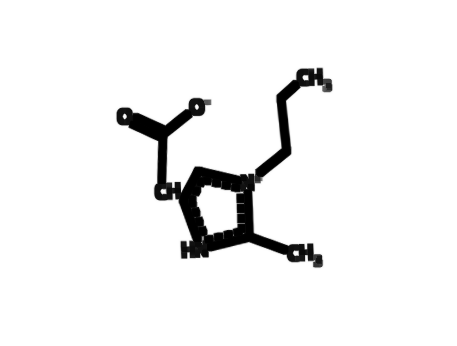 CC(=O)[O-].CCC[n+]1cc[nH]c1C